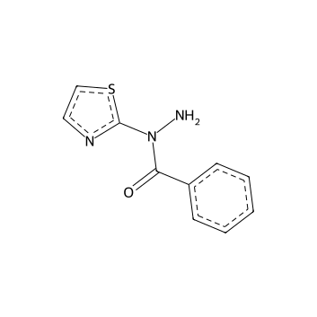 NN(C(=O)c1ccccc1)c1nccs1